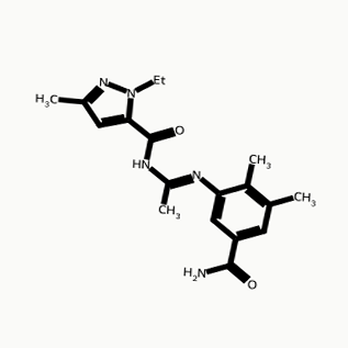 CCn1nc(C)cc1C(=O)N/C(C)=N/c1cc(C(N)=O)cc(C)c1C